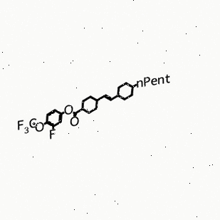 CCCCCC1CCC(/C=C/C2CCC(C(=O)Oc3ccc(OC(F)(F)F)c(F)c3)CC2)CC1